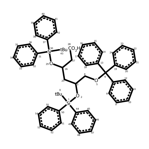 CC(C)(C)[Si](OC(COC(c1ccccc1)(c1ccccc1)c1ccccc1)CC(CC(=O)O)O[Si](c1ccccc1)(c1ccccc1)C(C)(C)C)(c1ccccc1)c1ccccc1